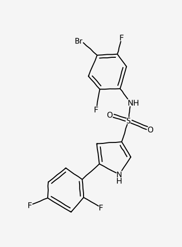 O=S(=O)(Nc1cc(F)c(Br)cc1F)c1c[nH]c(-c2ccc(F)cc2F)c1